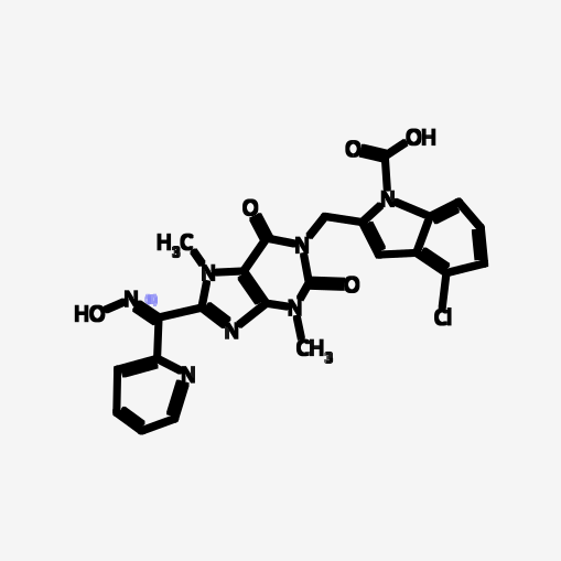 Cn1c(/C(=N/O)c2ccccn2)nc2c1c(=O)n(Cc1cc3c(Cl)cccc3n1C(=O)O)c(=O)n2C